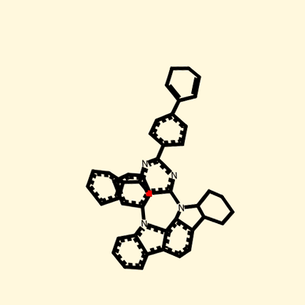 C1=CC(c2ccc(-c3nc(-c4ccccc4)nc(N4c5c(ccc6c7ccccc7n(-c7ccccc7)c56)C5CCCCC54)n3)cc2)=CCC1